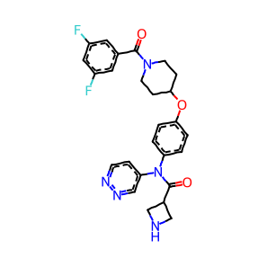 O=C(c1cc(F)cc(F)c1)N1CCC(Oc2ccc(N(C(=O)C3CNC3)c3ccnnc3)cc2)CC1